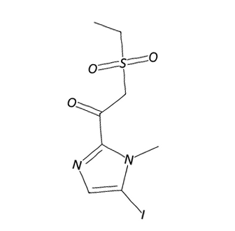 CCS(=O)(=O)CC(=O)c1ncc(I)n1C